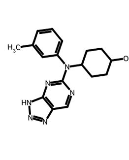 Cc1cccc(N(c2ncc3nn[nH]c3n2)C2CCC(O)CC2)c1